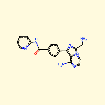 NCc1nc(-c2ccc(C(=O)Nc3ccccn3)cc2)c2c(N)nccn12